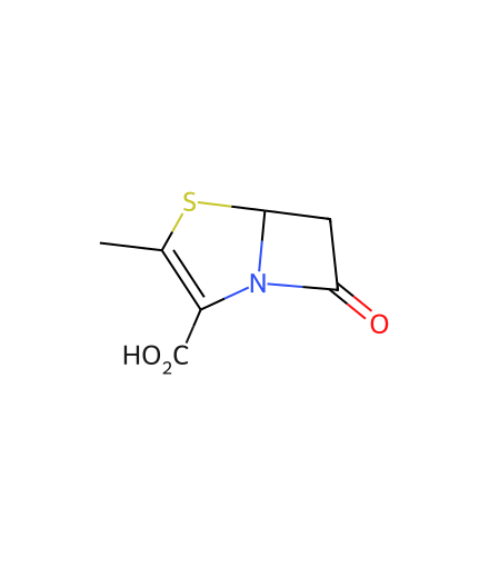 CC1=C(C(=O)O)N2C(=O)CC2S1